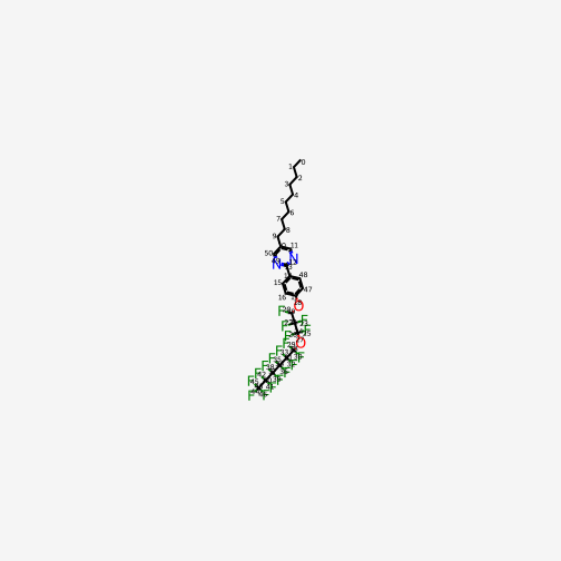 CCCCCCCCCCc1cnc(-c2ccc(OC(F)C(F)(F)C(F)(F)OC(F)(F)C(F)(F)C(F)(F)C(F)(F)C(F)(F)C(F)(F)F)cc2)nc1